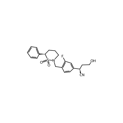 N#C[C@H](CCO)c1ccc(CN2CCC[C@H](c3ccccc3)S2(=O)=O)c(F)c1